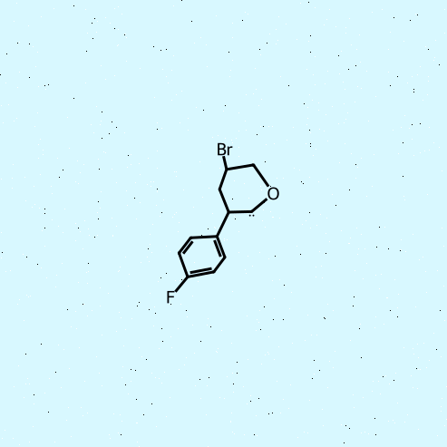 Fc1ccc(C2[C]OCC(Br)C2)cc1